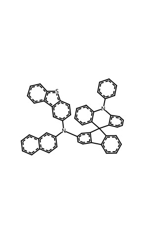 c1ccc(N2c3ccccc3C3(c4ccccc4-c4ccc(N(c5ccc6ccccc6c5)c5ccc6sc7ccccc7c6c5)cc43)c3ccccc32)cc1